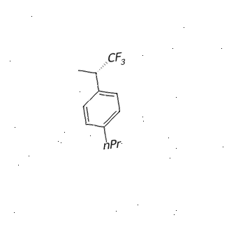 CCCc1ccc([C@H](C)C(F)(F)F)cc1